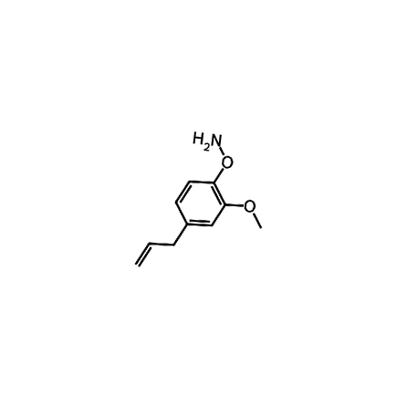 C=CCc1ccc(ON)c(OC)c1